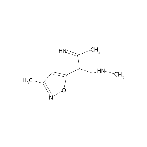 CNCC(C(C)=N)c1cc(C)no1